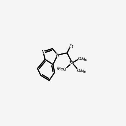 CCC(n1cnc2ccccc21)[Si](OC)(OC)OC